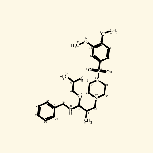 COc1ccc(S(=O)(=O)N2CCN(CC(C)C(NCc3ccccc3)OCC(C)C)CC2)cc1OC